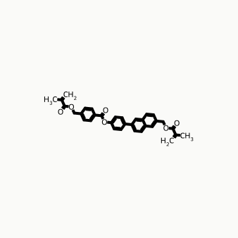 C=C(C)C(=O)OCc1ccc(C(=O)Oc2ccc(-c3ccc4cc(COC(=O)C(=C)C)ccc4c3)cc2)cc1